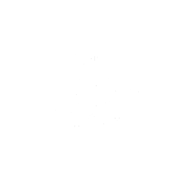 CC(=O)OC(CCC(=O)Br)(OC(C)=O)OC(C)=O